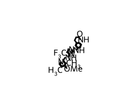 COc1c(C)cnc(CNc2nc(Nc3ccc4c(c3)CCC(=O)N4)ncc2C(F)(F)F)c1C